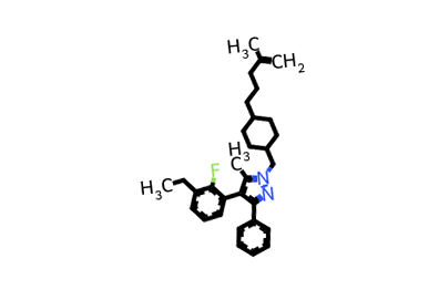 C=C(C)CCCC1CCC(Cn2nc(-c3ccccc3)c(-c3cccc(CC)c3F)c2C)CC1